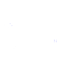 Cc1cc2ncccc2cc1N